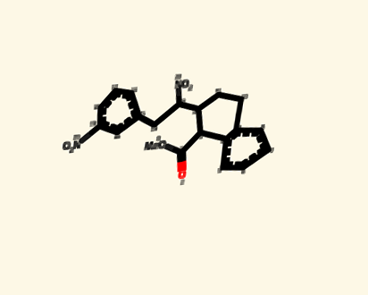 COC(=O)C1c2ccccc2CCC1C(Cc1cccc([N+](=O)[O-])c1)[N+](=O)[O-]